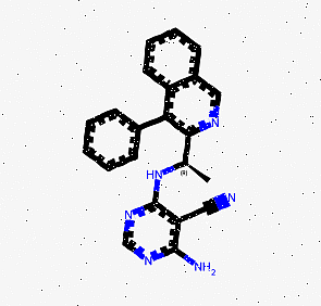 C[C@@H](Nc1ncnc(N)c1C#N)c1ncc2ccccc2c1-c1ccccc1